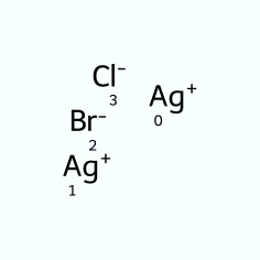 [Ag+].[Ag+].[Br-].[Cl-]